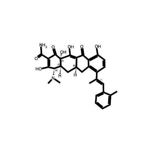 C/C(=C\c1ccccc1C)c1ccc(O)c2c1C[C@H]1C[C@H]3[C@H](N(C)C)C(O)=C(C(N)=O)C(=O)[C@@]3(O)C(O)=C1C2=O